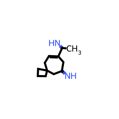 CC(=N)C1=CCC2(CCC2)CC(=N)C1